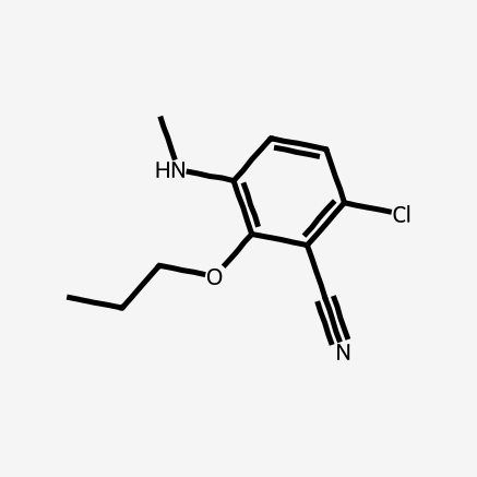 CCCOc1c(NC)ccc(Cl)c1C#N